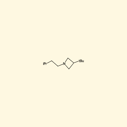 CC(C)CCN1CC(C(C)(C)C)C1